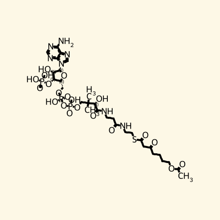 CC(=O)OCCCCC(=O)CC(=O)SCCNC(=O)CCNC(=O)[C@H](O)C(C)(C)COP(=O)(O)OP(=O)(O)OC[C@H]1O[C@@H](n2cnc3c(N)ncnc32)[C@H](O)[C@@H]1OP(=O)(O)O